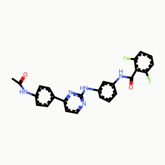 CC(=O)Nc1ccc(-c2ccnc(Nc3cccc(NC(=O)c4c(F)cccc4F)c3)n2)cc1